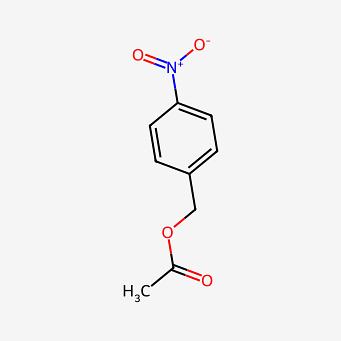 CC(=O)OCc1ccc([N+](=O)[O-])cc1